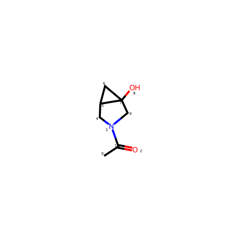 CC(=O)N1CC2CC2(O)C1